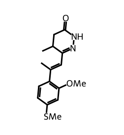 COc1cc(SC)ccc1C(C)=CC1=NNC(=O)CC1C